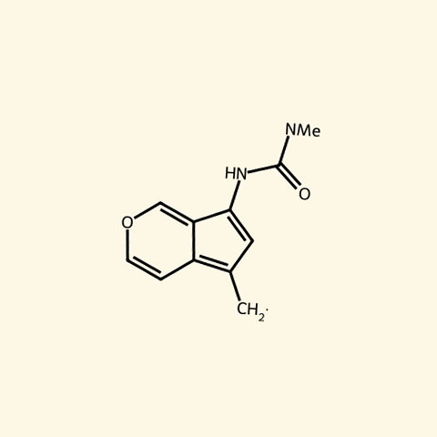 [CH2]c1cc(NC(=O)NC)c2coccc1-2